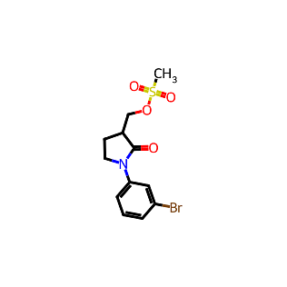 CS(=O)(=O)OCC1CCN(c2cccc(Br)c2)C1=O